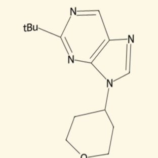 CC(C)(C)c1ncc2ncn(C3CCOCC3)c2n1